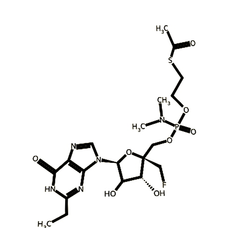 CCc1nc2c(ncn2[C@H]2O[C@](CF)(COP(=O)(OCCSC(C)=O)N(C)C)[C@H](O)C2O)c(=O)[nH]1